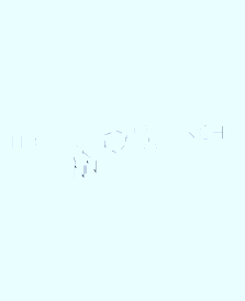 CC=CCCC(=O)Oc1ccc(-c2nnc(CCC)s2)cc1